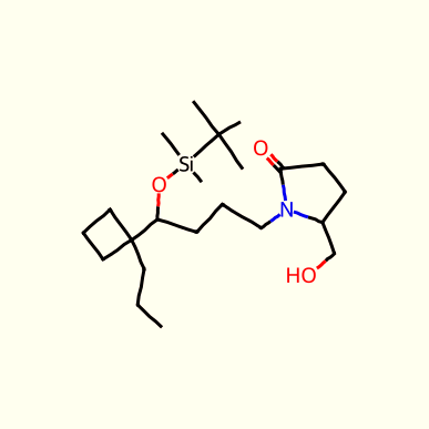 CCCC1(C(CCCN2C(=O)CCC2CO)O[Si](C)(C)C(C)(C)C)CCC1